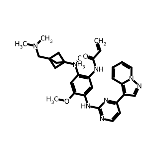 C=CC(=O)Nc1cc(Nc2nccc(-c3cnn4ccccc34)n2)c(OC)cc1N(C)C12CC(CN(C)C)(C1)C2